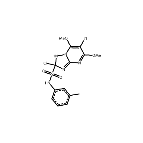 COC1=NC2=NC(Cl)(S(=O)(=O)Nc3cccc(C)c3)NN2C(OC)=C1Cl